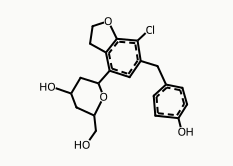 OCC1CC(O)CC(c2cc(Cc3ccc(O)cc3)c(Cl)c3c2CCO3)O1